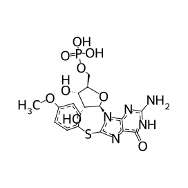 COc1ccc(Sc2nc3c(=O)[nH]c(N)nc3n2[C@@H]2O[C@H](COP(=O)(O)O)[C@@H](O)[C@H]2O)cc1